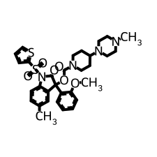 COc1ccccc1C1(OC(=O)N2CCC(N3CCN(C)CC3)CC2)C(=O)N(S(=O)(=O)c2cccs2)c2ccc(C)cc21